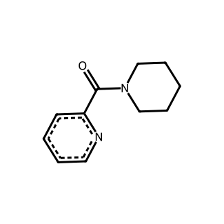 O=C(c1ccccn1)N1CCCCC1